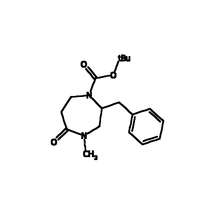 CN1CC(Cc2ccccc2)N(C(=O)OC(C)(C)C)CCC1=O